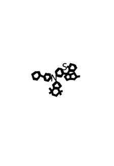 CC1CC2CCC3(c4ccccc4Sc4ccc(N(c5ccc(-c6ccccc6)cc5)c5ccc6c(c5)C(C)(C)CCC6(C)C)cc43)C2C1